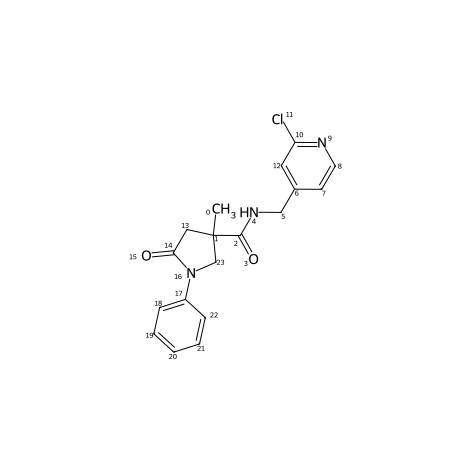 CC1(C(=O)NCc2ccnc(Cl)c2)CC(=O)N(c2ccccc2)C1